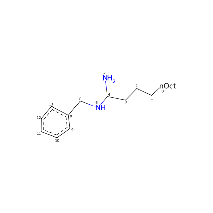 CCCCCCCCCCCC(N)NCc1ccccc1